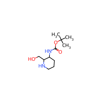 CC(C)(C)OC(=O)NC1CCCNC1CO